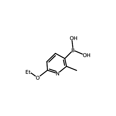 CCOc1ccc(B(O)O)c(C)n1